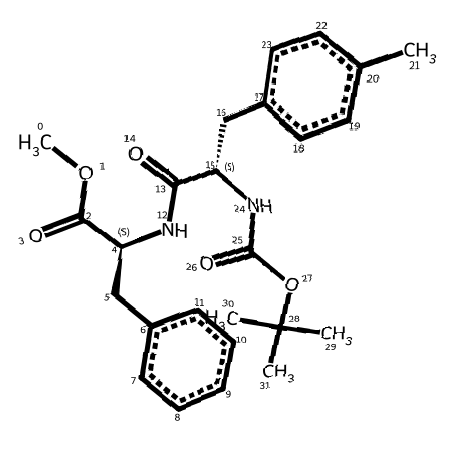 COC(=O)[C@H](Cc1ccccc1)NC(=O)[C@H](Cc1ccc(C)cc1)NC(=O)OC(C)(C)C